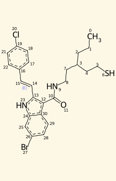 CCCC(CCS)CCNC(=O)c1c(/C=C/c2ccc(Cl)cc2)[nH]c2cc(Br)ccc12